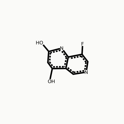 Oc1cc(O)c2cncc(F)c2n1